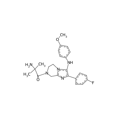 COc1ccc(Nc2c(-c3ccc(F)cc3)nc3n2CCN(C(=O)C(C)(C)N)C3)cc1